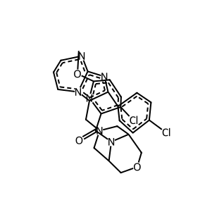 COc1ccc(Cl)c(C(=O)N2C3COCC2CN(Cc2c(-c4ccc(Cl)cc4)nc4ncccn24)C3)n1